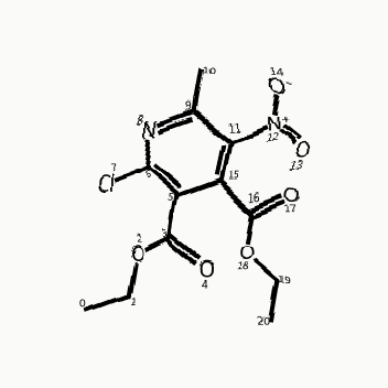 CCOC(=O)c1c(Cl)nc(C)c([N+](=O)[O-])c1C(=O)OCC